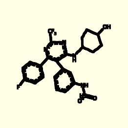 O=[SH](=O)Nc1cccc(-c2c(NC3CCC(O)CC3)nc(C(F)(F)F)nc2-c2ccc(F)cc2)c1